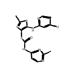 Cc1nccc(NC(=O)Oc2nc(C)sc2Nc2cc(Cl)ccn2)n1